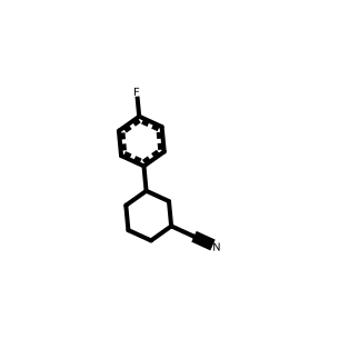 N#CC1CCCC(c2ccc(F)cc2)C1